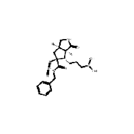 [N-]=[N+]=N[C@@]1(C(=O)OCc2ccccc2)C[C@H]2CNC(=O)[C@H]2[C@@H]1CCCB(O)O